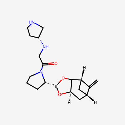 C=C1[C@@H]2C[C@H]3OB([C@@H]4CCCN4C(=O)CN[C@@H]4CCNC4)OC3[C@H]1C2